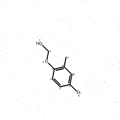 CCc1ccc(OCO)c(C)c1